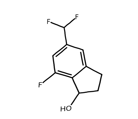 OC1CCc2cc(C(F)F)cc(F)c21